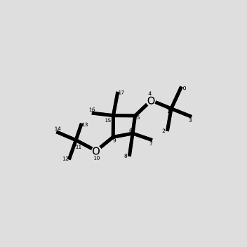 CC(C)(C)OC1C(C)(C)C(OC(C)(C)C)C1(C)C